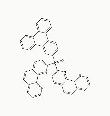 O=P(c1ccc2c3ccccc3c3ccccc3c2c1)(c1ccc2ccc3cccnc3c2n1)c1ccc2ccc3cccnc3c2n1